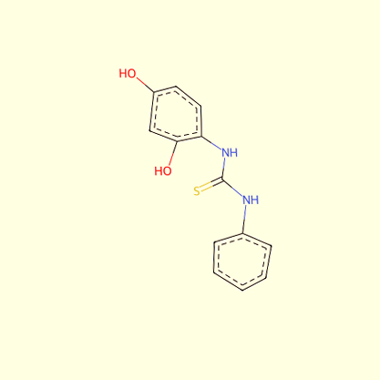 Oc1ccc(NC(=S)Nc2ccccc2)c(O)c1